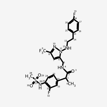 CC(C(=O)NCc1cc(C(F)(F)F)nn1NCCc1ccc(F)cc1)c1ccc(NS(C)(=O)=O)c(F)c1